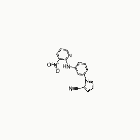 N#Cc1cccn1-c1cccc(Nc2ncccc2[N+](=O)[O-])c1